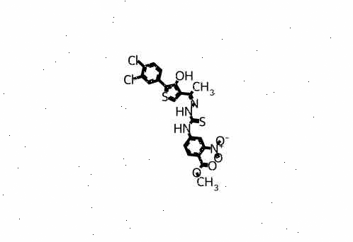 COC(=O)c1ccc(NC(=S)NN=C(C)c2csc(-c3ccc(Cl)c(Cl)c3)c2O)cc1[N+](=O)[O-]